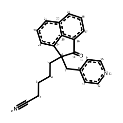 N#CCCCCC1(Cc2ccncc2)C(=O)c2cccc3cccc1c23